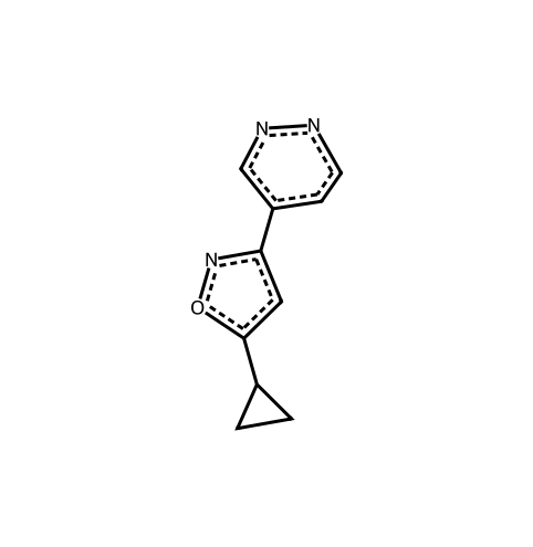 c1cc(-c2cc(C3CC3)on2)cnn1